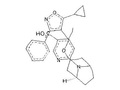 Cc1cc(N2C3CC[C@H]2CC(OCc2c(-c4ccccc4)noc2C2CC2)C3)ncc1C(=O)O